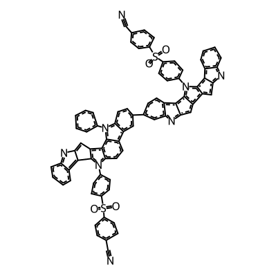 N#Cc1ccc(S(=O)(=O)c2ccc(-n3c4c(c5c3ccc3c6cc(-c7ccc8c9c%10c(cc-9nc8c7)c7cc8nc9ccccc9c-8c7n%10-c7ccc(S(=O)(=O)c8ccc(C#N)cc8)cc7)ccc6n(-c6ccccc6)c35)C=C3N=c5ccccc5=C34)cc2)cc1